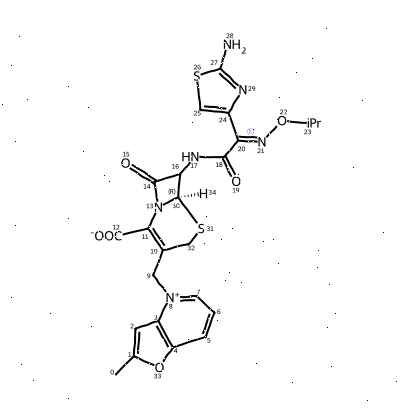 Cc1cc2c(ccc[n+]2CC2=C(C(=O)[O-])N3C(=O)C(NC(=O)/C(=N/OC(C)C)c4csc(N)n4)[C@H]3SC2)o1